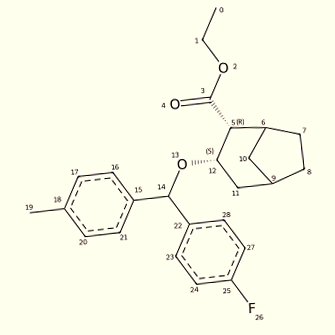 CCOC(=O)[C@@H]1C2CCC(C2)C[C@@H]1OC(c1ccc(C)cc1)c1ccc(F)cc1